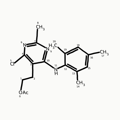 CC(=O)OCCc1c(Cl)nc(C)nc1Nc1c(C)cc(C)cc1C